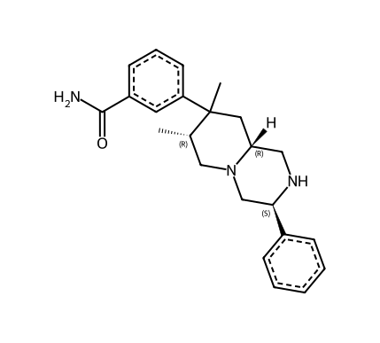 C[C@H]1CN2C[C@H](c3ccccc3)NC[C@H]2CC1(C)c1cccc(C(N)=O)c1